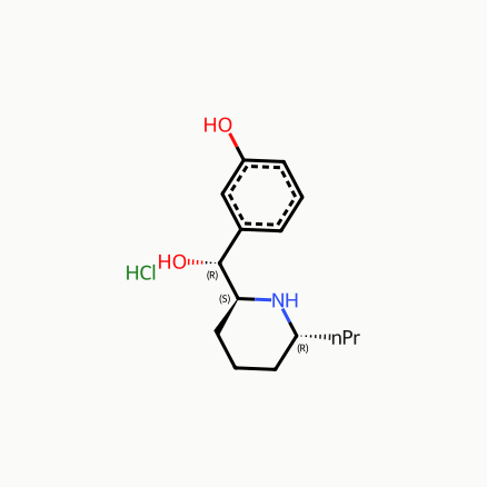 CCC[C@@H]1CCC[C@@H]([C@H](O)c2cccc(O)c2)N1.Cl